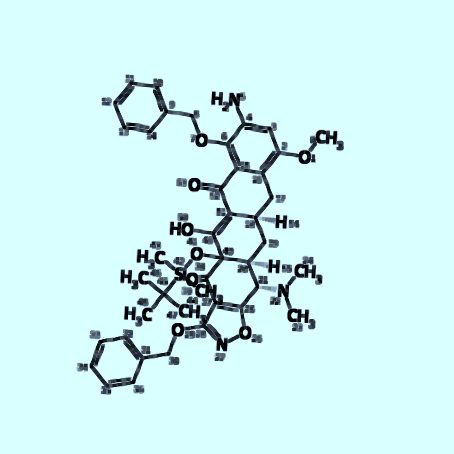 COc1cc(N)c(OCc2ccccc2)c2c1C[C@H]1C[C@H]3[C@H](N(C)C)c4onc(OCc5ccccc5)c4C(=O)C3(O[Si](C)(C)C(C)(C)C)C(O)=C1C2=O